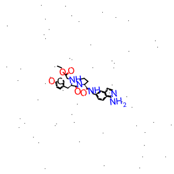 CCOC(=O)CN[C@H](Cc1ccc(OC)cc1)C(=O)N1CCC[C@H]1C(=O)NCc1ccc2c(N)nccc2c1